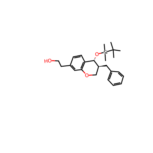 CC(C)(C)[Si](C)(C)O[C@H]1c2ccc(CCO)cc2OC[C@@H]1Cc1ccccc1